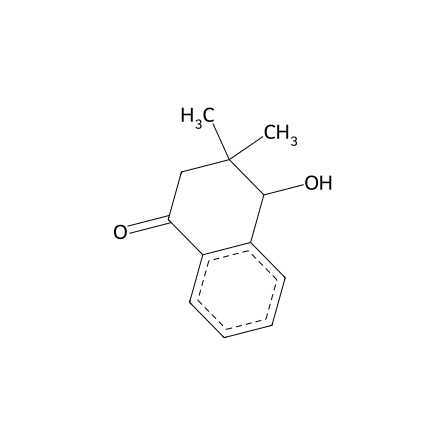 CC1(C)CC(=O)c2ccccc2C1O